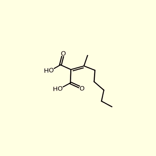 CCCCCC(C)=C(C(=O)O)C(=O)O